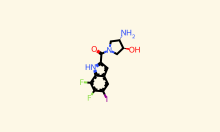 N[C@H]1CN(C(=O)c2cc3cc(I)c(F)c(F)c3[nH]2)C[C@@H]1O